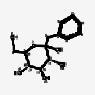 OC[C@H]1OC(O)(Cc2ccccc2)[C@H](O)[C@@H](O)[C@@H]1O